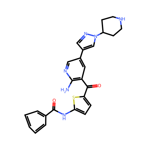 Nc1ncc(-c2cnn(C3CCNCC3)c2)cc1C(=O)c1ccc(NC(=O)c2ccccc2)s1